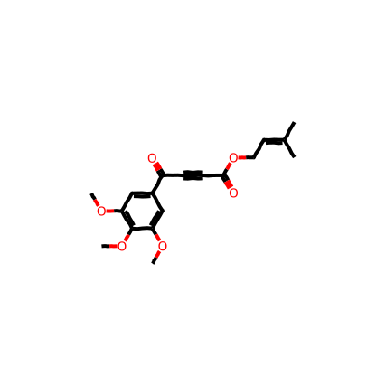 COc1cc(C(=O)C#CC(=O)OCC=C(C)C)cc(OC)c1OC